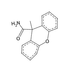 CC1(C(N)=O)c2ccccc2Oc2ccccc21